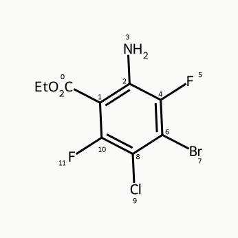 CCOC(=O)c1c(N)c(F)c(Br)c(Cl)c1F